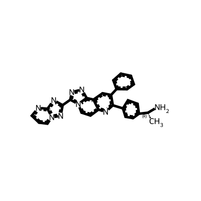 C[C@@H](N)c1ccc(-c2nc3ccn4c(-c5nc6ncccn6n5)nnc4c3cc2-c2ccccc2)cc1